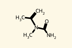 C=C(C)N(C)C(N)=O